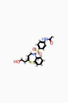 CC(=O)Nc1ccc(S(=O)(=O)N2CC=C(CCO)Sc3ccccc32)cc1